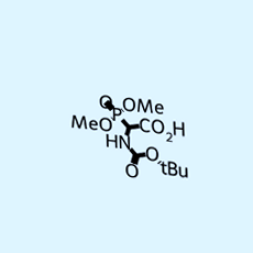 COP(=O)(OC)C(NC(=O)OC(C)(C)C)C(=O)O